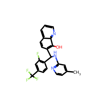 Cc1ccnc(NC(c2ccc(C(F)(F)F)cc2F)c2ccc3cccnc3c2O)c1